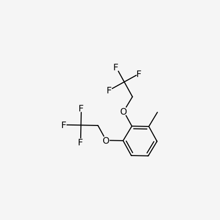 Cc1cccc(OCC(F)(F)F)c1OCC(F)(F)F